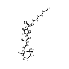 CCCCCCCOC(=O)c1ccc(/C=C(\C)C=CC2=C(C)CCCC2(C)C)o1